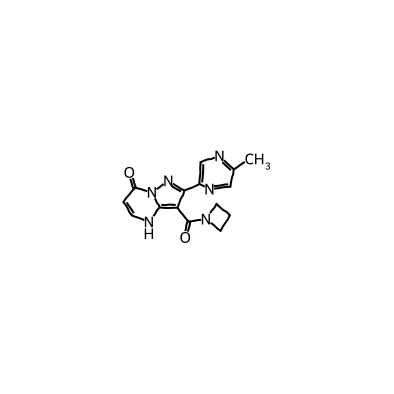 Cc1cnc(-c2nn3c(=O)cc[nH]c3c2C(=O)N2CCC2)cn1